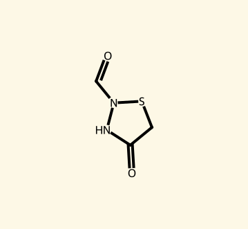 O=CN1NC(=O)CS1